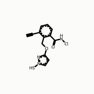 C#Cc1cccc(C(=O)NCl)c1COc1ccn(S)n1